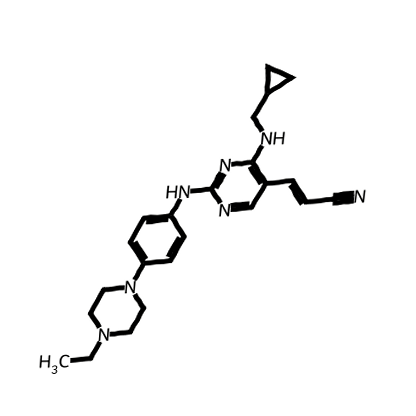 CCN1CCN(c2ccc(Nc3ncc(C=CC#N)c(NCC4CC4)n3)cc2)CC1